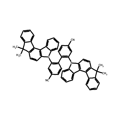 CC1(C)c2ccccc2-c2c1ccc1c2c2ccccc2n1-c1cc(C#N)ccc1-c1ccc(C#N)cc1-n1c2ccccc2c2c3c(ccc21)C(C)(C)c1ccccc1-3